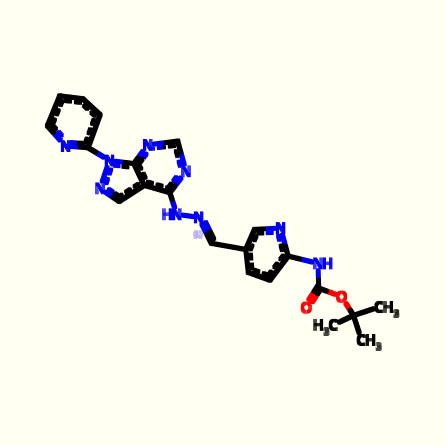 CC(C)(C)OC(=O)Nc1ccc(/C=N/Nc2ncnc3c2cnn3-c2ccccn2)cn1